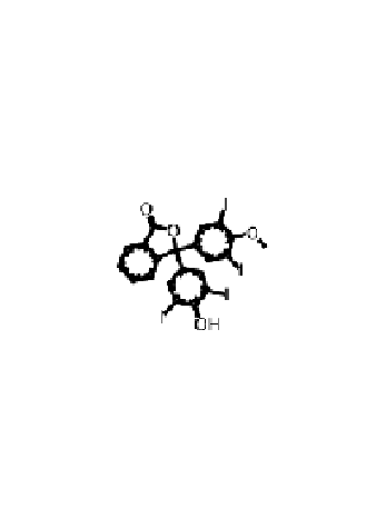 COc1c(I)cc(C2(c3cc(I)c(O)c(I)c3)OC(=O)c3ccccc32)cc1I